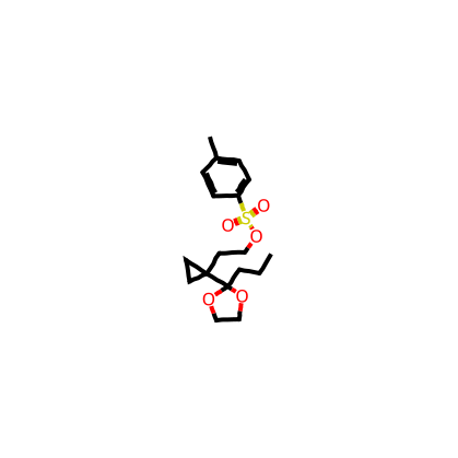 CCCC1(C2(CCOS(=O)(=O)c3ccc(C)cc3)CC2)OCCO1